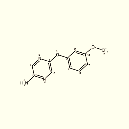 Nc1cnc(Oc2cccc(OC(F)(F)F)c2)cn1